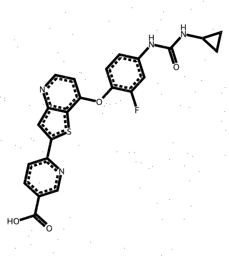 O=C(Nc1ccc(Oc2ccnc3cc(-c4ccc(C(=O)O)cn4)sc23)c(F)c1)NC1CC1